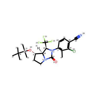 Cc1c(N2C(=O)N3CC[C@H](O[Si](C)(C)C(C)(C)C)[C@H]3[C@H]2C(F)(F)F)ccc(C#N)c1Cl